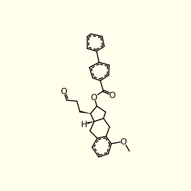 COc1cccc2c1CC1CC(OC(=O)c3ccc(-c4ccccc4)cc3)[C@H](CCC=O)[C@H]1C2